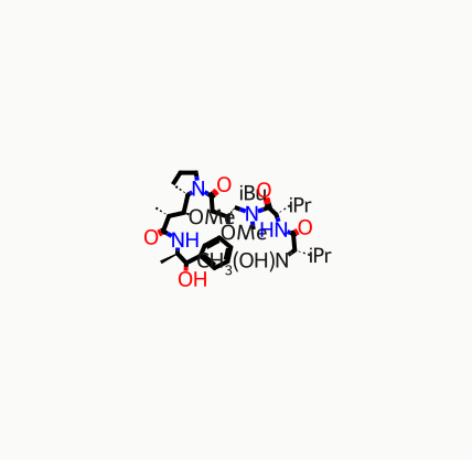 CC[C@H](C)[C@@H](C(CC(=O)N1CCC[C@H]1[C@H](OC)[C@@H](C)C(=O)N[C@H](C)C(O)c1ccccc1)OC)N(C)C(=O)[C@@H](NC(=O)[C@H](C(C)C)N(C)O)C(C)C